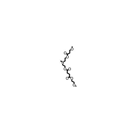 COCCOC(=O)CCC(=O)OCCN(C)CCOC(=O)CCOC